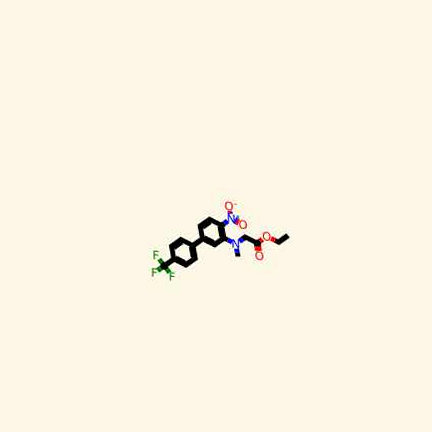 CCOC(=O)CN(C)c1cc(-c2ccc(C(F)(F)F)cc2)ccc1[N+](=O)[O-]